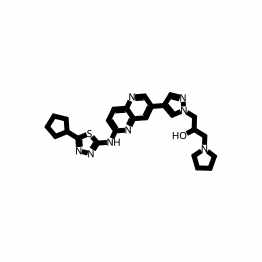 OC(CN1CCCC1)Cn1cc(-c2cnc3ccc(Nc4nnc(C5CCCC5)s4)nc3c2)cn1